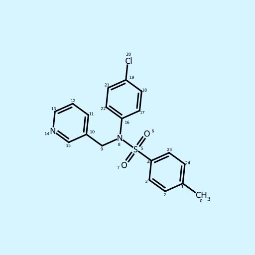 Cc1ccc(S(=O)(=O)N(Cc2cccnc2)c2ccc(Cl)cc2)cc1